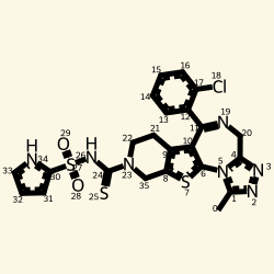 Cc1nnc2n1-c1sc3c(c1C(c1ccccc1Cl)=NC2)CCN(C(=S)NS(=O)(=O)c1ccc[nH]1)C3